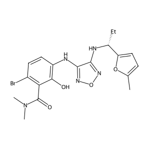 CC[C@@H](Nc1nonc1Nc1ccc(Br)c(C(=O)N(C)C)c1O)c1ccc(C)o1